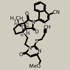 C#CCSc1nc(COC)cc(=O)n1CC[C@@]12CC[C@@](C)(O1)[C@H]1C(=O)N(c3ccc(C#N)c4ccccc34)C(=O)[C@H]12